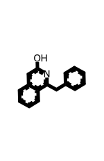 Oc1cc2ccccc2c(Cc2ccccc2)n1